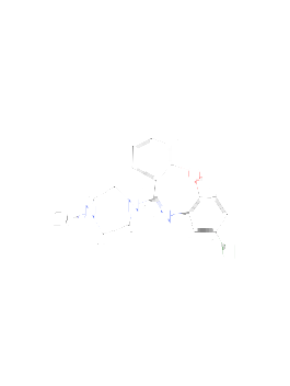 CCN1CCN(C2=Nc3cc(Cl)ccc3Oc3ccccc32)CC1